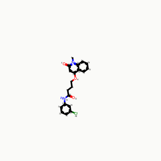 Cn1c(=O)cc(OCCCC(=O)Nc2cccc(Cl)c2)c2ccccc21